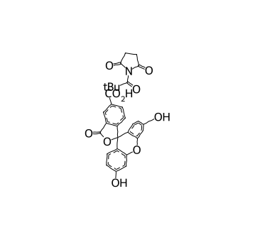 CC(C)(C)C(=O)N1C(=O)CCC1=O.O=C(O)c1ccc2c(c1)C(=O)OC21c2ccc(O)cc2Oc2cc(O)ccc21